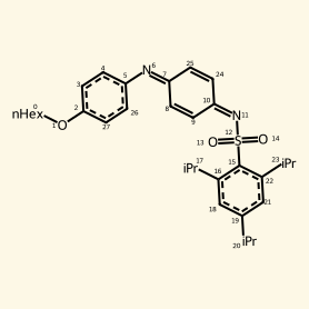 CCCCCCOc1ccc(N=C2C=CC(=NS(=O)(=O)c3c(C(C)C)cc(C(C)C)cc3C(C)C)C=C2)cc1